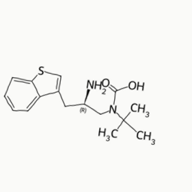 CC(C)(C)N(C[C@H](N)Cc1csc2ccccc12)C(=O)O